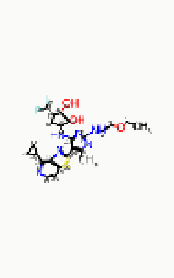 CCOCCNc1nc(C)c(-c2nc3c(C4CC4)nccc3s2)c(N[C@@H]2C[C@H](C(F)F)[C@@H](O)[C@H]2O)n1